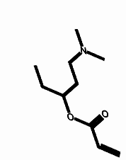 C=CC(=O)OC(CC)CCN(C)C